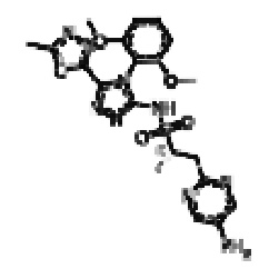 COc1cccc(OC)c1-n1c(NS(=O)(=O)[C@@H](C)Cc2ncc(P)cn2)nnc1-c1nnc(C)o1